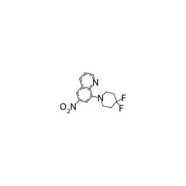 O=[N+]([O-])c1cc(N2CCC(F)(F)CC2)c2ncccc2c1